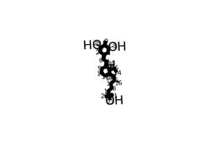 C=C1[C@H](O)CC(=C/C=C2\CCC[C@]3(C)[C@@H]([C@@H](C)CCCC(C)(C)O)CC[C@@H]23)C[C@H]1O